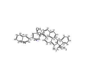 C=C/C=C(\N=C/C(C)c1ccc2ccc3c4c(cc5ccc1c2c53)C(C)(C)c1ccccc1-4)c1cnc2ccccc2c1